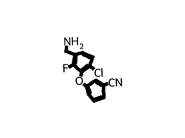 N#Cc1cccc(Oc2c(Cl)ccc(CN)c2F)c1